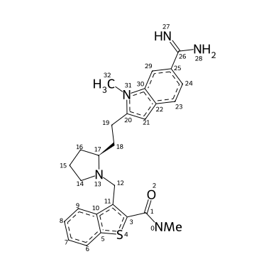 CNC(=O)c1sc2ccccc2c1CN1CCC[C@H]1CCc1cc2ccc(C(=N)N)cc2n1C